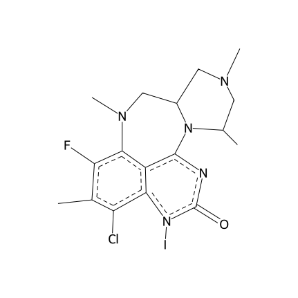 Cc1c(F)c2c3c(nc(=O)n(I)c3c1Cl)N1C(C)CN(C)CC1CN2C